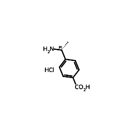 C[C@@H](N)c1ccc(C(=O)O)cc1.Cl